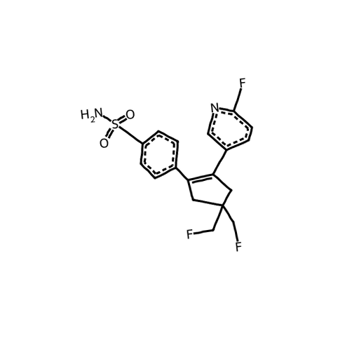 NS(=O)(=O)c1ccc(C2=C(c3ccc(F)nc3)CC(CF)(CF)C2)cc1